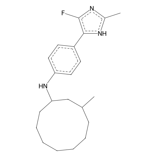 Cc1nc(F)c(-c2ccc(NC3CCCCCCCC(C)C3)cc2)[nH]1